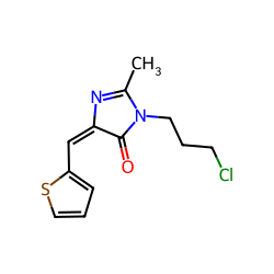 CC1=N/C(=C/c2cccs2)C(=O)N1CCCCl